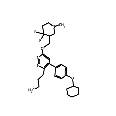 CCCCc1nnc(OCC2CN(C)CCC2(F)F)cc1-c1ccc(OC2CCCCC2)cc1